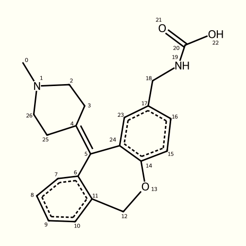 CN1CCC(=C2c3ccccc3COc3ccc(CNC(=O)O)cc32)CC1